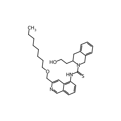 CCCCCCCCOCc1cc2c(NC(=S)N3Cc4ccccc4CC3CCO)cccc2cn1